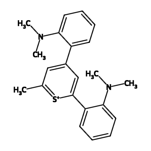 Cc1cc(-c2ccccc2N(C)C)cc(-c2ccccc2N(C)C)[s+]1